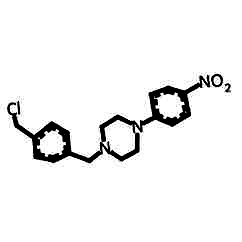 O=[N+]([O-])c1ccc(N2CCN(Cc3ccc(CCl)cc3)CC2)cc1